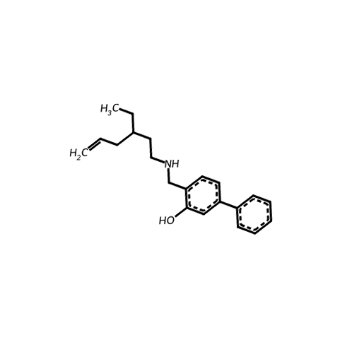 C=CCC(CC)CCNCc1ccc(-c2ccccc2)cc1O